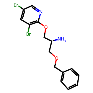 N[C@@H](COCc1ccccc1)COc1ncc(Br)cc1Br